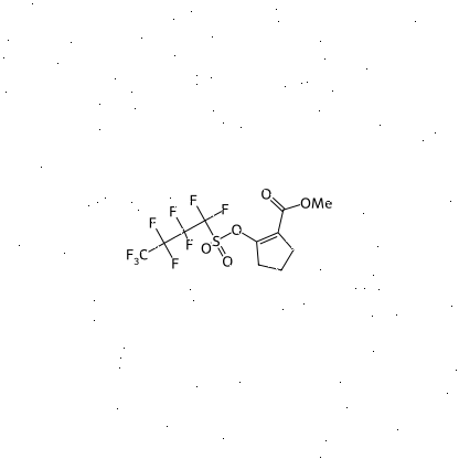 COC(=O)C1=C(OS(=O)(=O)C(F)(F)C(F)(F)C(F)(F)C(F)(F)F)CCC1